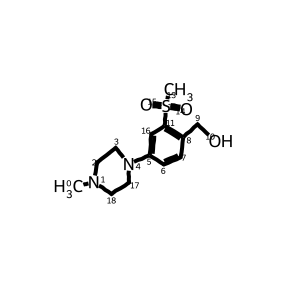 CN1CCN(c2ccc(CO)c(S(C)(=O)=O)c2)CC1